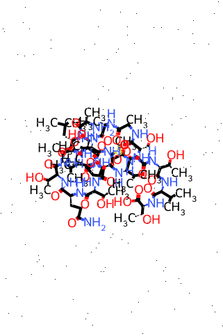 CSCC[C@H](NC(=O)[C@@H](NC(=O)[C@H](CC(C)C)NC(=O)[C@H](C)N)C(C)C)C(=O)N[C@H](C(=O)N[C@@H](CCC(N)=O)C(=O)N[C@H](C(=O)N[C@@H](C)C(=O)N[C@@H](CO)C(=O)N1CCC[C@H]1C(=O)N[C@H](C(=O)N[C@@H](CO)C(=O)N[C@@H](C)C(=O)N[C@@H](C)C(=O)N[C@H](C(=O)NCC(=O)NCC(=O)N[C@H](C(=O)N[C@H](C(=O)N[C@H](C(=O)O)[C@@H](C)O)C(C)C)[C@@H](C)O)C(C)C)C(C)C)[C@@H](C)O)[C@@H](C)O